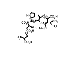 CC(O)C(N)C(=O)O.NC(CC(=O)O)C(=O)O.NC(CCC(=O)O)C(=O)O.NC(CO)C(=O)O.NCC(=O)O.O=C(O)[C@@H]1CCCN1